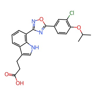 CC(C)Oc1ccc(-c2nc(-c3cccc4c(CCC(=O)O)c[nH]c34)no2)cc1Cl